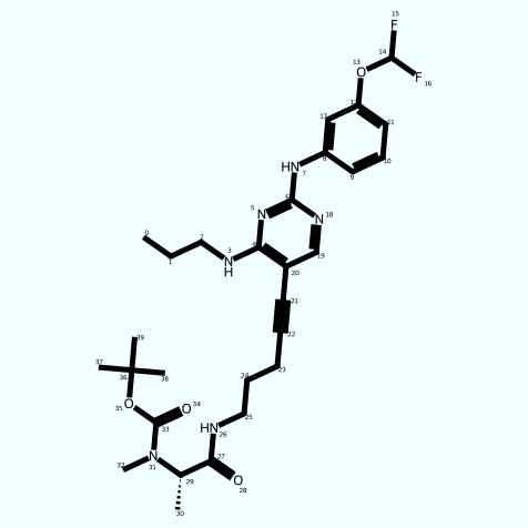 CCCNc1nc(Nc2cccc(OC(F)F)c2)ncc1C#CCCCNC(=O)[C@H](C)N(C)C(=O)OC(C)(C)C